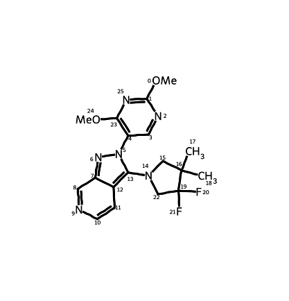 COc1ncc(-n2nc3cnccc3c2N2CC(C)(C)C(F)(F)C2)c(OC)n1